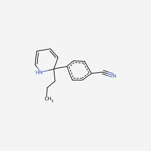 CCCC1(c2ccc(C#N)cc2)C=CC=CN1